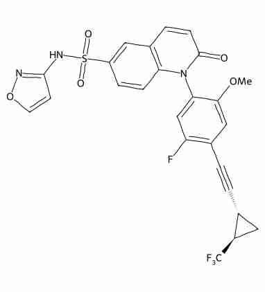 COc1cc(C#C[C@@H]2C[C@H]2C(F)(F)F)c(F)cc1-n1c(=O)ccc2cc(S(=O)(=O)Nc3ccon3)ccc21